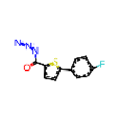 [N-]=[N+]=NC(=O)c1ccc(-c2ccc(F)cc2)s1